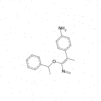 C=N/C(OC(C)c1ccccc1)=C(\C)c1ccc(N)cc1